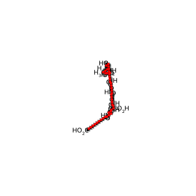 C[C@H](N)C(=O)CN[C@@H](CCCCNC(=O)COCCOCCNC(=O)COCCOCCNC(=O)CC[C@H](NC(=O)[C@H]1CC[C@H](CNC(=O)CCCCCCCCCCCCCCCCCCC(=O)O)CC1)C(=O)O)C(=O)CN[C@@H](Cc1ccc(O)cc1)C(N)=O